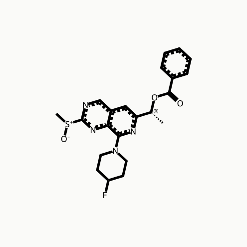 C[C@@H](OC(=O)c1ccccc1)c1cc2cnc([S+](C)[O-])nc2c(N2CCC(F)CC2)n1